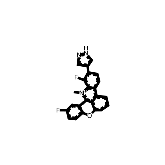 C[n+]1c2c3c(cccc3c3ccc(-c4cn[nH]c4)c(F)c31)Oc1ccc(F)cc1-2